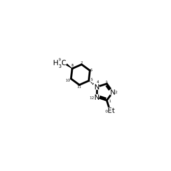 CCc1ncn([C@H]2CC[C@H](C)CC2)n1